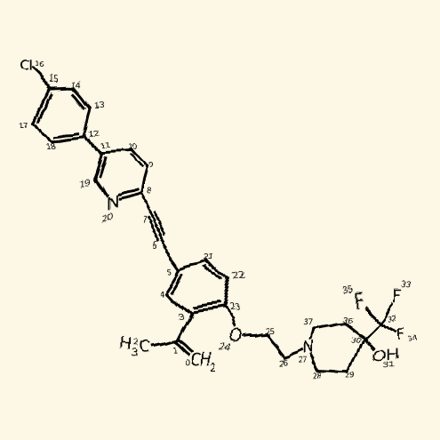 C=C(C)c1cc(C#Cc2ccc(-c3ccc(Cl)cc3)cn2)ccc1OCCN1CCC(O)(C(F)(F)F)CC1